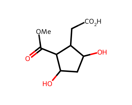 COC(=O)C1C(O)CC(O)C1CC(=O)O